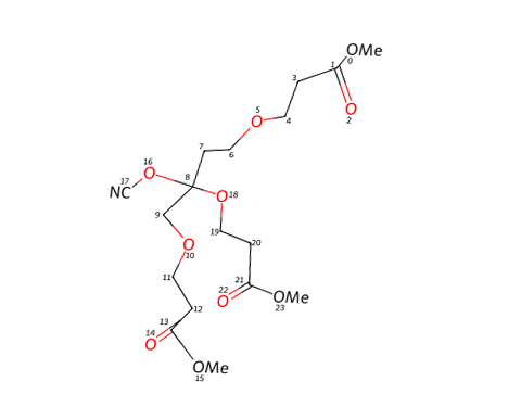 COC(=O)CCOCCC(COCCC(=O)OC)(OC#N)OCCC(=O)OC